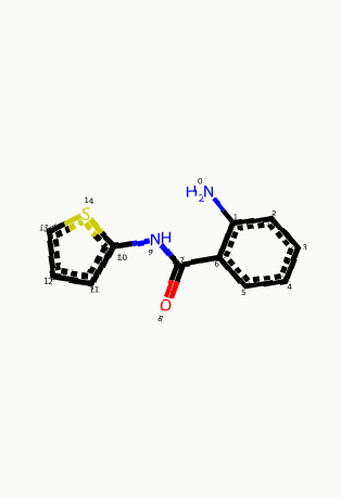 Nc1ccccc1C(=O)Nc1cccs1